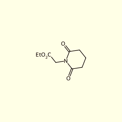 CCOC(=O)CN1C(=O)CCCC1=O